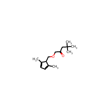 CC1=CC=C(C)C1COCC(=O)CC(C)(C)C